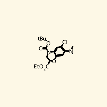 CCOC(=O)C1CN(C(=O)OC(C)(C)C)c2cc(Cl)c(N(C)C)cc2O1